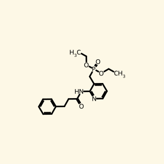 CCOP(=O)(Cc1cccnc1NC(=O)CCc1ccccc1)OCC